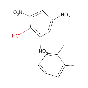 Cc1ccccc1C.O=[N+]([O-])c1cc([N+](=O)[O-])c(O)c([N+](=O)[O-])c1